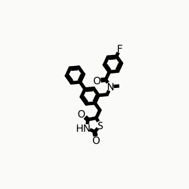 CN(Cc1cc(-c2ccccc2)ccc1CC1SC(=O)NC1=O)C(=O)c1ccc(F)cc1